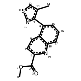 COC(=O)c1ccc2c(-c3nscc3C)cccc2n1